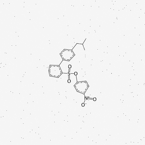 CC(C)Cc1ccc(-c2ccccc2S(=O)(=O)Oc2ccc([N+](=O)[O-])cc2)cc1